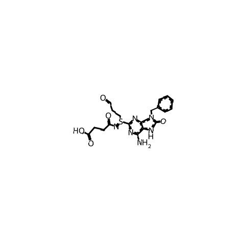 Nc1nc(S(CCC=O)=NC(=O)CCC(=O)O)nc2c1[nH]c(=O)n2Cc1ccccc1